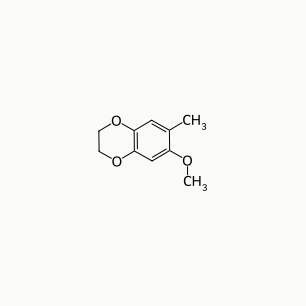 COc1cc2c(cc1C)OCCO2